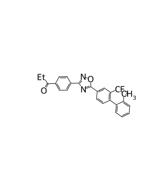 CCC(=O)c1ccc(-c2noc(-c3ccc(-c4ccccc4C)c(C(F)(F)F)c3)n2)cc1